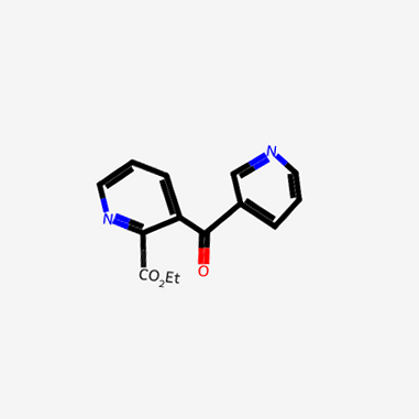 CCOC(=O)c1ncccc1C(=O)c1cccnc1